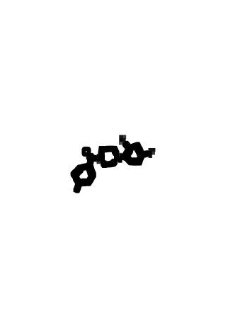 Cc1ccc(C(=O)N2CCN(c3ccc(F)cc3F)CC2)cc1